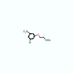 COCCOc1cc(Br)cc([N+](=O)[O-])c1